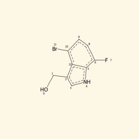 OCc1c[nH]c2c(F)ccc(Br)c12